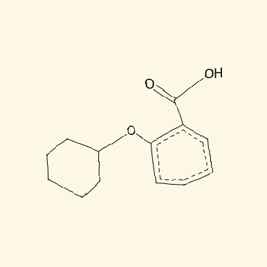 O=C(O)c1ccccc1OC1CCCCC1